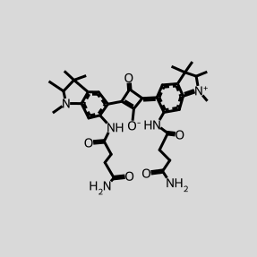 CC1N(C)c2cc(NC(=O)CCC(N)=O)c(C3=C([O-])/C(=c4/cc5c(cc4NC(=O)CCC(N)=O)=[N+](C)C(C)C5(C)C)C3=O)cc2C1(C)C